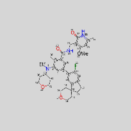 CCN(c1cc(-c2cc3c(cc2F)CCC32CCOCC2)cc(C(=O)NCc2c(OC)cc(C)[nH]c2=O)c1C)C1CCOCC1